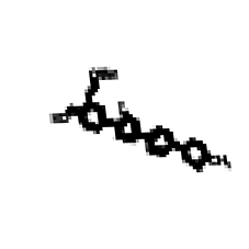 COCCc1cc(-c2ccc(-c3ccc(C4CCC(C)CC4)cc3)cc2F)ccc1CO